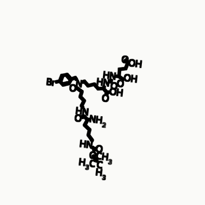 CC(C)(C)OC(=O)NCCCCC(N)C(=O)NCCCCC(=O)N(CCCCC(NC(=O)NC(CCC(=O)O)C(=O)O)C(=O)O)Cc1ccc(Br)cc1